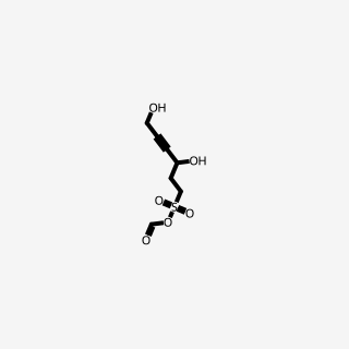 O=COS(=O)(=O)CCC(O)C#CCO